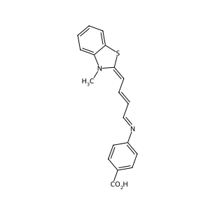 CN1C(=CC=CC=Nc2ccc(C(=O)O)cc2)Sc2ccccc21